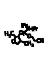 CC1OC[C@H](C)[C@@H]1OP(OCCC#N)N(C(C)C)C(C)C